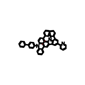 c1ccc(-c2ccc(N(c3ccc(-c4ccccc4)cc3)c3ccccc3-c3ccc4c(c3)c3cc(-c5ccccn5)cc5c6ccccc6n4c53)cc2)cc1